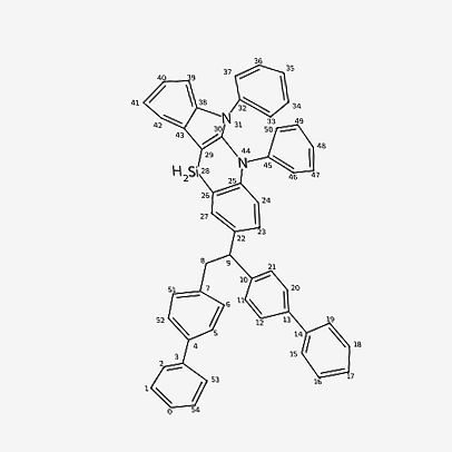 c1ccc(-c2ccc(CC(c3ccc(-c4ccccc4)cc3)c3ccc4c(c3)[SiH2]c3c(n(-c5ccccc5)c5ccccc35)N4c3ccccc3)cc2)cc1